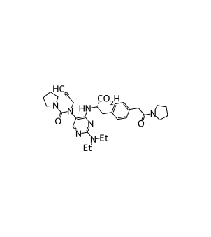 C#CCN(C(=O)N1CCCC1)c1cnc(N(CC)CC)nc1N[C@@H](Cc1ccc(CC(=O)N2CCCC2)cc1)C(=O)O